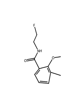 COc1c(C)cccc1C(=O)NCCF